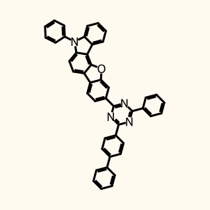 c1ccc(-c2ccc(-c3nc(-c4ccccc4)nc(-c4ccc5c(c4)oc4c5ccc5c4c4ccccc4n5-c4ccccc4)n3)cc2)cc1